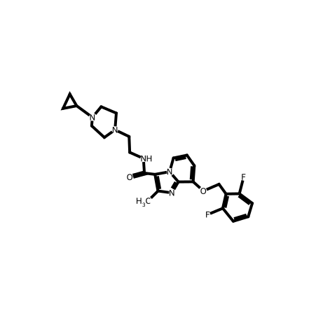 Cc1nc2c(OCc3c(F)cccc3F)cccn2c1C(=O)NCCN1CCN(C2CC2)CC1